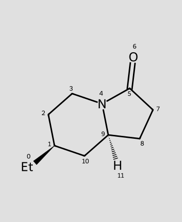 CC[C@H]1CCN2C(=O)CC[C@H]2C1